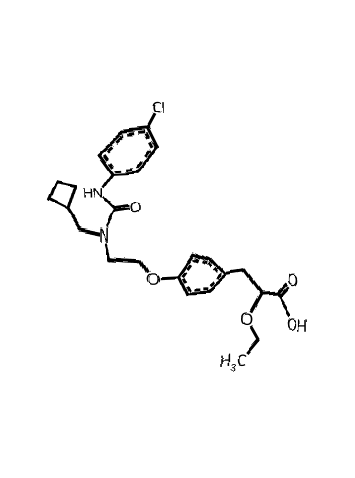 CCOC(Cc1ccc(OCCN(CC2CCC2)C(=O)Nc2ccc(Cl)cc2)cc1)C(=O)O